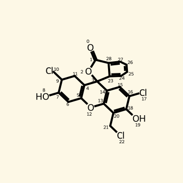 O=C1OC2(C3=C(C=C(O)C(Cl)C3)Oc3c2cc(Cl)c(O)c3CCl)c2ccccc21